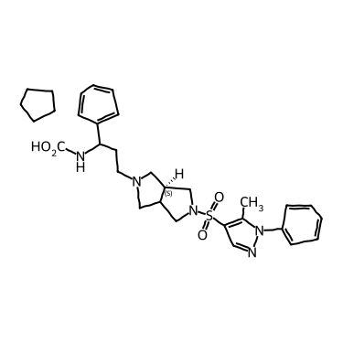 C1CCCC1.Cc1c(S(=O)(=O)N2CC3CN(CCC(NC(=O)O)c4ccccc4)C[C@H]3C2)cnn1-c1ccccc1